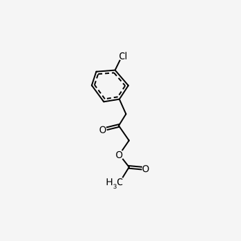 CC(=O)OCC(=O)Cc1cccc(Cl)c1